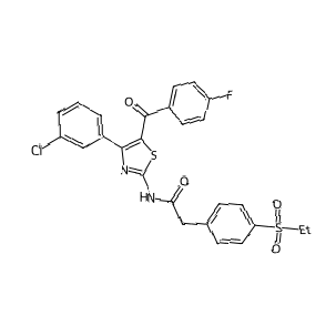 CCS(=O)(=O)c1ccc(CC(=O)Nc2nc(-c3cccc(Cl)c3)c(C(=O)c3ccc(F)cc3)s2)cc1